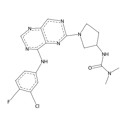 CN(C)C(=O)NC1CCN(c2ncc3ncnc(Nc4ccc(F)c(Cl)c4)c3n2)C1